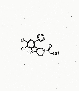 O=C(CO)N1CCc2[nH]c3c(Cl)c(Cl)cc(-c4ccccc4)c3c2C1